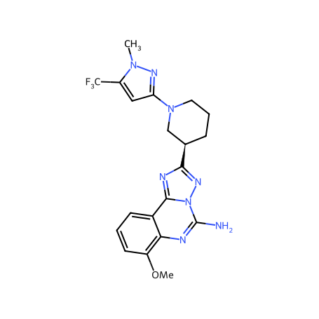 COc1cccc2c1nc(N)n1nc([C@@H]3CCCN(c4cc(C(F)(F)F)n(C)n4)C3)nc21